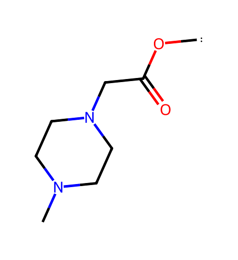 [CH]OC(=O)CN1CCN(C)CC1